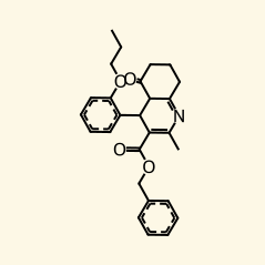 CCCOc1ccccc1C1C(C(=O)OCc2ccccc2)=C(C)N=C2CCCC(=O)C21